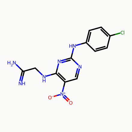 N=C(N)CNc1nc(Nc2ccc(Cl)cc2)ncc1[N+](=O)[O-]